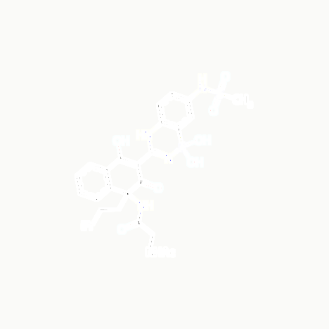 CC(=O)NCC(=O)NC1(CCC(C)C)C(=O)C(C2=NS(O)(O)c3cc(NS(C)(=O)=O)ccc3N2)=C(O)c2ccccc21